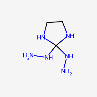 NNC1(NN)NCCN1